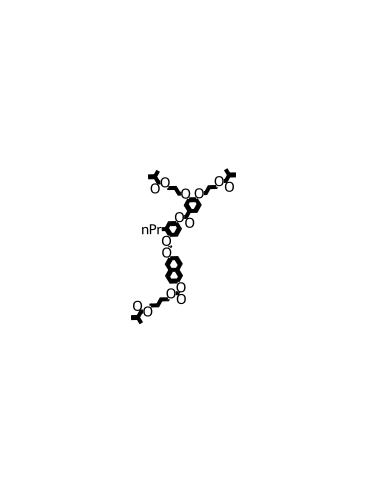 C=C(C)C(=O)OCCCCOC(=O)Oc1ccc2cc(OCOc3ccc(OC(=O)c4ccc(OCCCOC(=O)C(=C)C)c(OCCCOC(=O)C(=C)C)c4)cc3CCC)ccc2c1